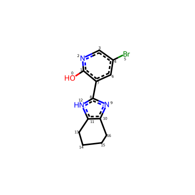 Oc1ncc(Br)cc1-c1nc2c([nH]1)CCCC2